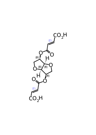 O=C(O)/C=C/C(=O)O[C@@H]1CO[C@H]2[C@@H]1OC[C@H]2OC(=O)/C=C/C(=O)O